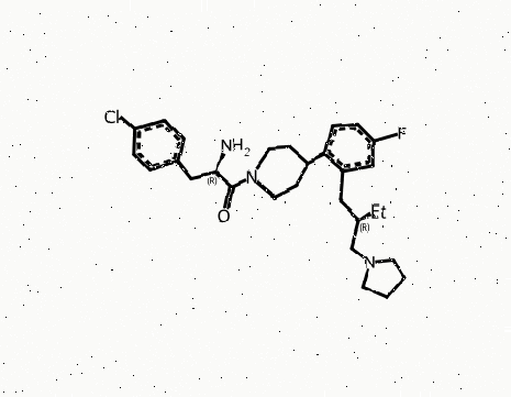 CC[C@H](Cc1cc(F)ccc1C1CCN(C(=O)[C@H](N)Cc2ccc(Cl)cc2)CC1)CN1CCCC1